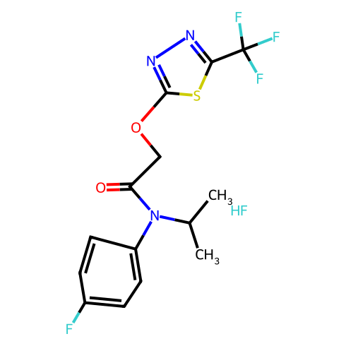 CC(C)N(C(=O)COc1nnc(C(F)(F)F)s1)c1ccc(F)cc1.F